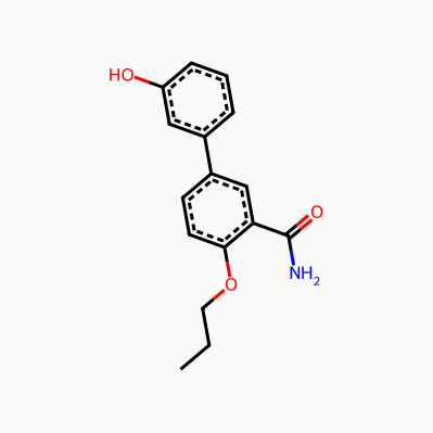 CCCOc1ccc(-c2cccc(O)c2)cc1C(N)=O